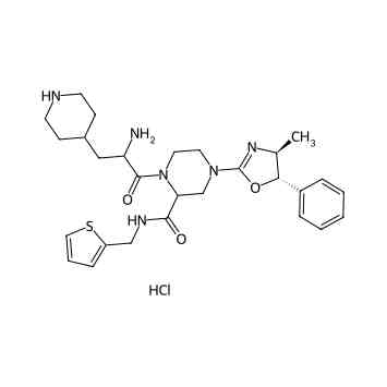 C[C@@H]1N=C(N2CCN(C(=O)C(N)CC3CCNCC3)C(C(=O)NCc3cccs3)C2)O[C@H]1c1ccccc1.Cl